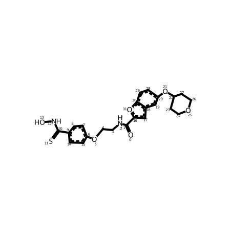 O=C(NCCOc1ccc(C(=S)NO)cc1)c1cc2cc(OC3CCOCC3)ccc2o1